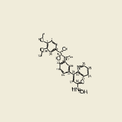 COc1ccc(S(=O)(=O)N(C)c2cccc(C(=CC(=O)NO)c3ccccn3)c2)cc1OC